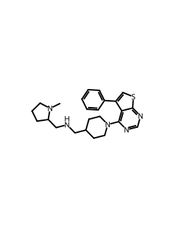 CN1CCCC1CNCC1CCN(c2ncnc3scc(-c4ccccc4)c23)CC1